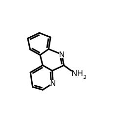 Nc1nc2ccccc2c2cccnc12